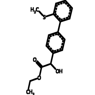 CCOC(=O)C(O)c1ccc(-c2ccccc2SC)cc1